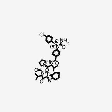 CC(C)C(NC(=O)[C@@H]1CCCN1C(=O)[C@@H](NC(=O)c1ccc(N(C(N)=O)S(=O)(=O)c2ccc(Cl)cc2)cc1)C(C)C)C(=O)c1nc2ccccc2o1